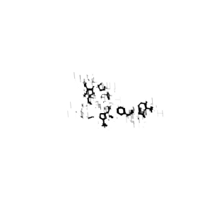 C[C@@H](O)[C@H]1C(=O)N2C(C(=O)O)=C(SCCNC=N)C[C@H]12.C[C@@H](O)[C@H]1C(=O)N2C(C(=O)O)=C(S[C@@H]3CN[C@H](C(=O)N(C)C)C3)[C@H](C)[C@H]12.N[C@@H](C(=O)N[C@@H]1C(=O)N2C(C(=O)O)=C(Cl)CC[C@H]12)c1ccccc1.O.O